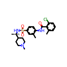 Cc1cc(S(=O)(=O)N[C@H](C)C2CCN(C)CC2)ccc1NC(=O)c1c(C)cccc1Cl